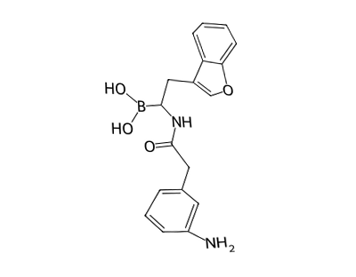 Nc1cccc(CC(=O)NC(Cc2coc3ccccc23)B(O)O)c1